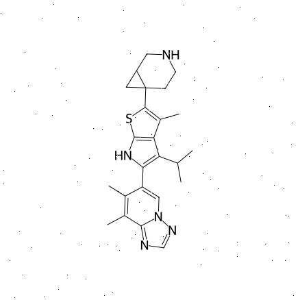 Cc1c(-c2[nH]c3sc(C45CCNCC4C5)c(C)c3c2C(C)C)cn2ncnc2c1C